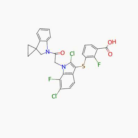 O=C(O)c1cccc(Sc2c(Cl)n(CC(=O)N3CC4(CC4)c4ccccc43)c3c(F)c(Cl)ccc23)c1F